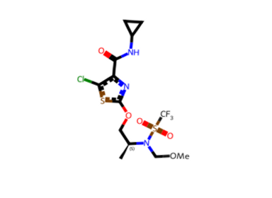 COCN([C@@H](C)COc1nc(C(=O)NC2CC2)c(Cl)s1)S(=O)(=O)C(F)(F)F